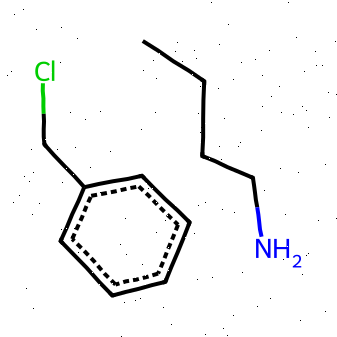 CCCCN.ClCc1ccccc1